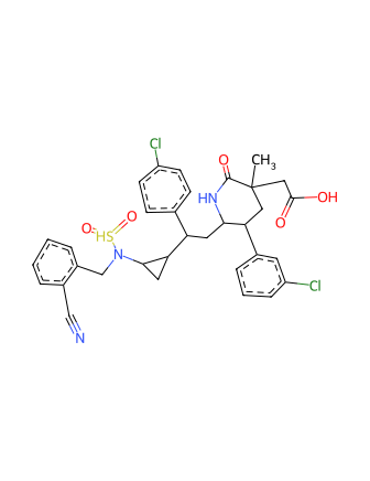 CC1(CC(=O)O)CC(c2cccc(Cl)c2)C(CC(c2ccc(Cl)cc2)C2CC2N(Cc2ccccc2C#N)[SH](=O)=O)NC1=O